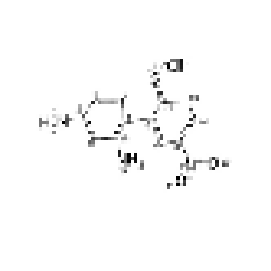 Cl.Nc1ccc(C2=CC([N+](=O)[O-])=CCC2=S)c(N)c1